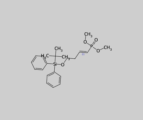 COP(=O)(/C=C/CCO[Si](c1ccccc1)(c1ccccc1)C(C)(C)C)OC